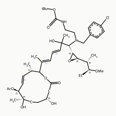 CC[C@H](OC)[C@@H](C)[C@H]1O[C@@H]1C(N(CCNC(=O)OC(C)(C)C)Cc1ccc(Cl)cc1)C(C)(O)/C=C/C=C(\C)C1OC(=O)C[C@H](O)CC[C@@](C)(O)[C@@H](OC(C)=O)/C=C/[C@@H]1C